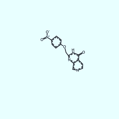 O=c1[nH]c(COc2ccc([N+](=O)[O-])cc2)nc2cnccc12